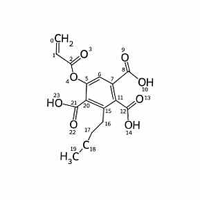 C=CC(=O)Oc1cc(C(=O)O)c(C(=O)O)c(CCCC)c1C(=O)O